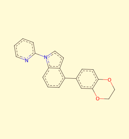 c1ccc(-n2ccc3c(-c4ccc5c(c4)OCCO5)cccc32)nc1